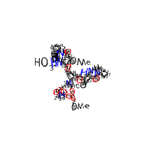 COCCOCCOCCN(CCCC(=O)ON1C(=O)CCC1=O)c1cc(COc2cc3c(cc2OC)C(=O)N2c4ccccc4C[C@H]2CN3)cc(COc2cc3c(cc2OC)C(=O)N2c4ccccc4C[C@H]2C(S(=O)(=O)O)N3)c1